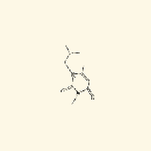 Cc1cc(=O)n(C)c(=O)n1CC(C)C